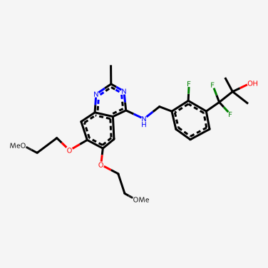 COCCOc1cc2nc(C)nc(NCc3cccc(C(F)(F)C(C)(C)O)c3F)c2cc1OCCOC